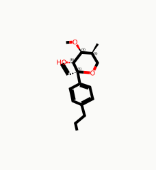 C=C[C@@]1(c2ccc(CCC)cc2)OC[C@H](C)[C@H](OC)[C@H]1O